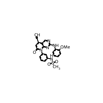 C#Cc1cc(=O)n(-c2cccc(NS(C)(=O)=O)c2)c2nc(Nc3ccccc3OC)ncc12